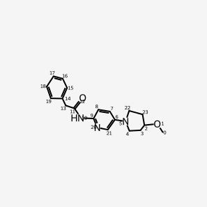 COC1CCN(c2ccc(NC(=O)Cc3ccccc3)nc2)CC1